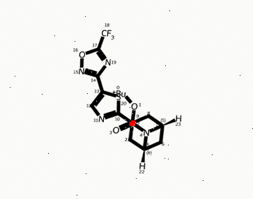 CC(C)(C)OC(=O)N1[C@@H]2C[C@H]1CN(c1ncc(-c3noc(C(F)(F)F)n3)s1)C2